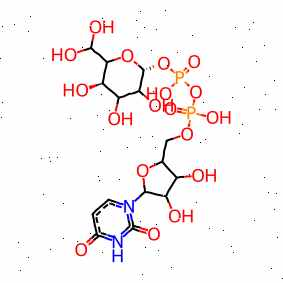 O=c1ccn(C2OC(COP(=O)(O)OP(=O)(O)O[C@H]3OC(C(O)O)[C@H](O)C(O)C3O)C(O)C2O)c(=O)[nH]1